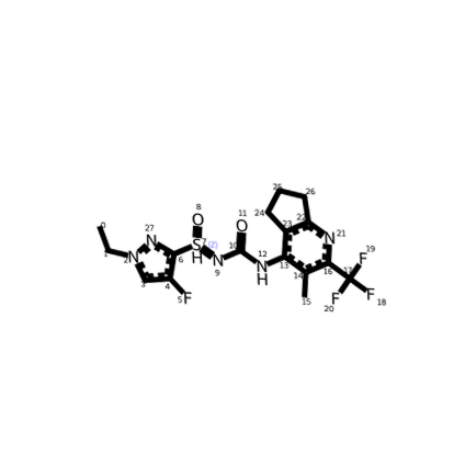 CCn1cc(F)c(/[SH](=O)=N/C(=O)Nc2c(C)c(C(F)(F)F)nc3c2CCC3)n1